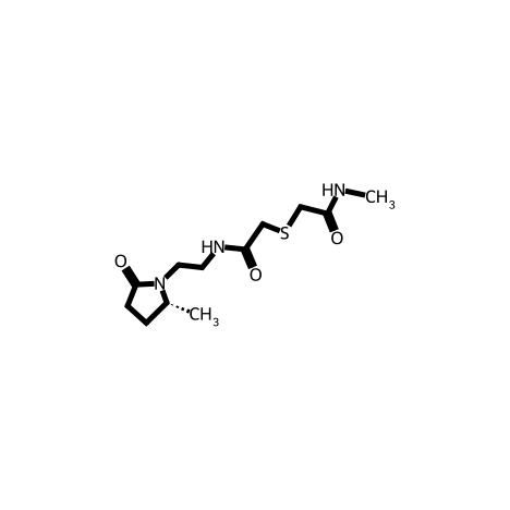 CNC(=O)CSCC(=O)NCCN1C(=O)CC[C@H]1C